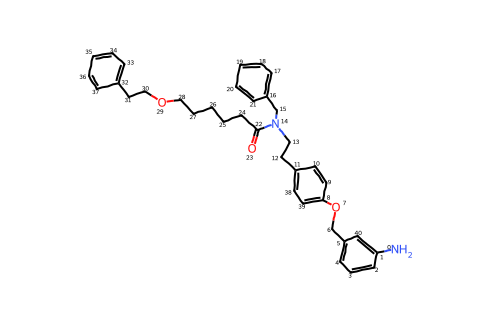 Nc1cccc(COc2ccc(CCN(Cc3ccccc3)C(=O)CCCCCOCCc3ccccc3)cc2)c1